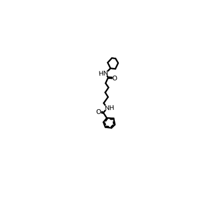 O=C(CCCCCNC(=O)c1ccccc1)NC1CCCCC1